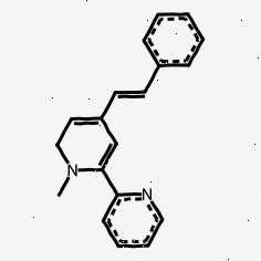 CN1CC=C(C=Cc2ccccc2)C=C1c1ccccn1